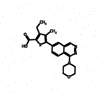 CCc1c(C(=O)O)sc(-c2ccc3c(N4CCOCC4)nncc3c2)c1C